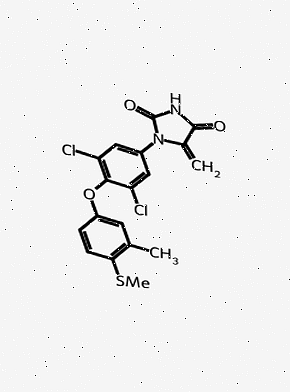 C=C1C(=O)NC(=O)N1c1cc(Cl)c(Oc2ccc(SC)c(C)c2)c(Cl)c1